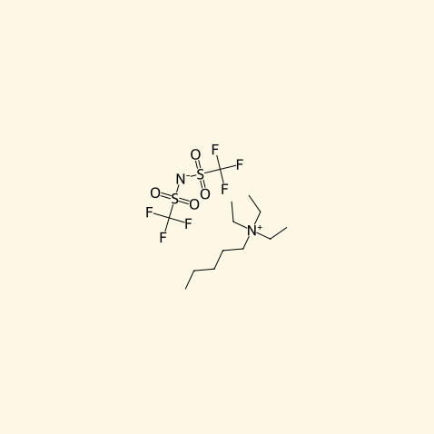 CCCCC[N+](CC)(CC)CC.O=S(=O)([N-]S(=O)(=O)C(F)(F)F)C(F)(F)F